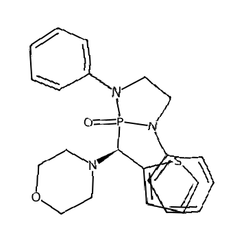 O=P1([C@@H](c2cccs2)N2CCOCC2)N(c2ccccc2)CCN1c1ccccc1